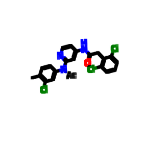 CC(=O)N(c1ccc(C)c(Cl)c1)c1cc(NC(=O)Cc2c(Cl)cccc2Cl)ccn1